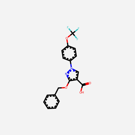 O=C(O)c1cn(-c2ccc(OC(F)(F)F)cc2)nc1OCc1ccccc1